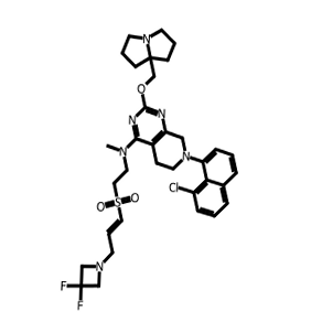 CN(CCS(=O)(=O)/C=C/CN1CC(F)(F)C1)c1nc(OCC23CCCN2CCC3)nc2c1CCN(c1cccc3cccc(Cl)c13)C2